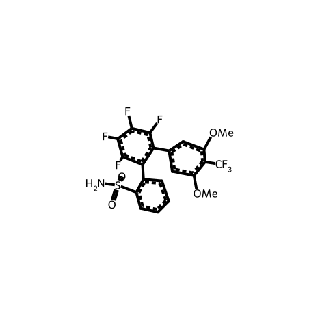 COc1cc(-c2c(F)c(F)c(F)c(F)c2-c2ccccc2S(N)(=O)=O)cc(OC)c1C(F)(F)F